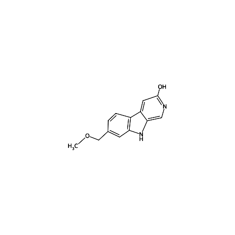 COCc1ccc2c(c1)[nH]c1cnc(O)cc12